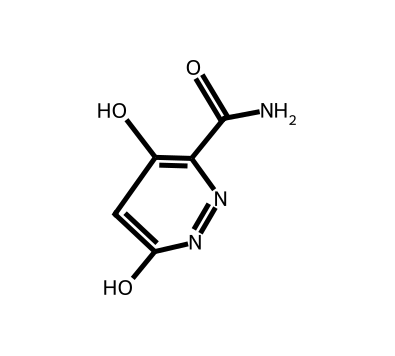 NC(=O)c1nnc(O)cc1O